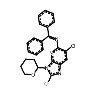 Clc1cc2nc(Cl)n(C3CCCCO3)c2nc1N=C(c1ccccc1)c1ccccc1